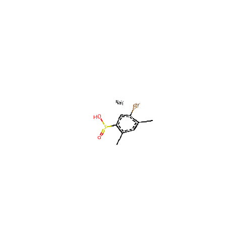 Cc1cc(C)c(S(=O)O)cc1Br.[NaH]